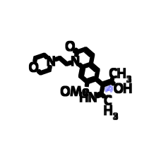 COc1cc2c(ccc(=O)n2CCN2CCOCC2)cc1/C(C(C)=N)=C(\C)O